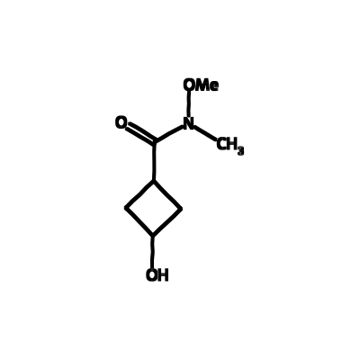 CON(C)C(=O)C1CC(O)C1